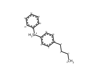 CCCCc1ccc([SiH2]c2ccccc2)cc1